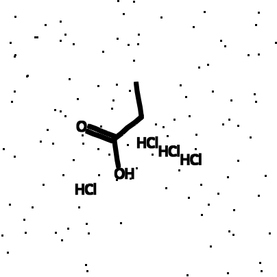 CCC(=O)O.Cl.Cl.Cl.Cl